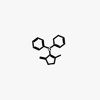 C=C1CCC(C)=C1N(C1=CC=CCC1)c1ccccc1